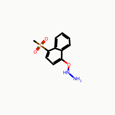 CS(=O)(=O)c1ccc(ONN)c2ccccc12